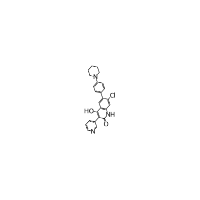 O=c1[nH]c2cc(Cl)c(-c3ccc(N4CCCCC4)cc3)cc2c(O)c1-c1cccnc1